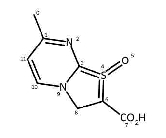 CC1=NC2=S(=O)=C(C(=O)O)CN2C=C1